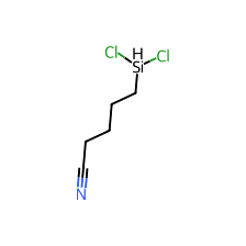 N#CCCCC[SiH](Cl)Cl